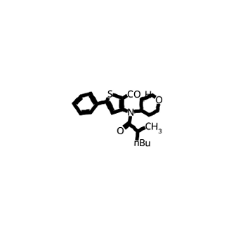 CCCCC(C)C(=O)N(c1cc(-c2ccccc2)sc1C(=O)O)C1CCOCC1